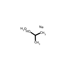 CC(C)O.O.[Na]